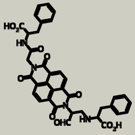 O=CC(CNC(Cc1ccccc1)C(=O)O)N1C(=O)c2ccc3c4c(ccc(c24)C1=O)C(=O)N(CC(=O)NC(Cc1ccccc1)C(=O)O)C3=O